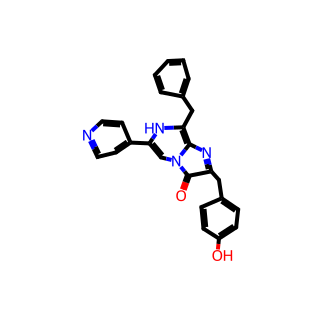 O=c1c(Cc2ccc(O)cc2)nc2c(Cc3ccccc3)[nH]c(-c3ccncc3)cn1-2